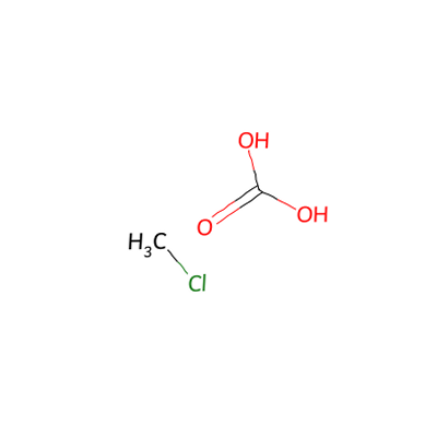 CCl.O=C(O)O